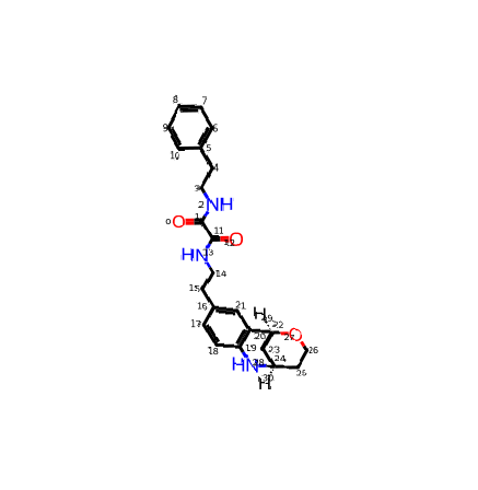 O=C(NCCc1ccccc1)C(=O)NCCc1ccc2c(c1)[C@@H]1C[C@@H](CCO1)N2